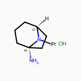 CC(C)N1[C@H]2CCC[C@]1(N)CC2.Cl